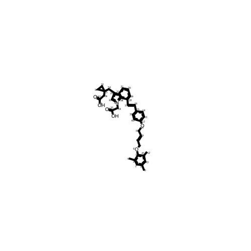 Cc1cc(C)c(OCC=CCOc2ccc(C=Cc3cccc4c(CC5(CC(=O)O)CC5)cn(CC(=O)O)c34)cc2)c(C)c1